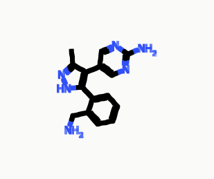 Cc1n[nH]c(-c2ccccc2CN)c1-c1cnc(N)nc1